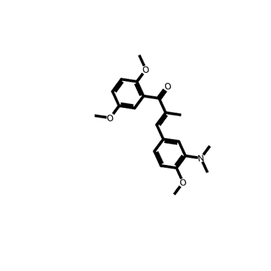 COc1ccc(OC)c(C(=O)C(C)=Cc2ccc(OC)c(N(C)C)c2)c1